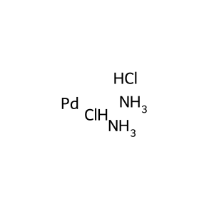 Cl.Cl.N.N.[Pd]